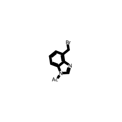 CC(=O)n1cnc2c(CBr)cccc21